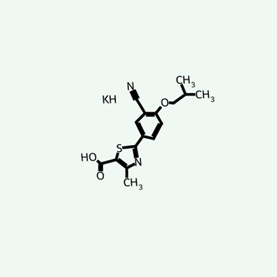 Cc1nc(-c2ccc(OCC(C)C)c(C#N)c2)sc1C(=O)O.[KH]